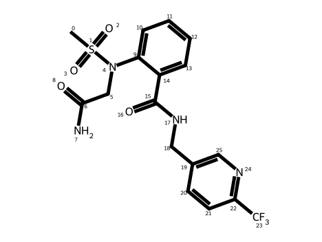 CS(=O)(=O)N(CC(N)=O)c1ccccc1C(=O)NCc1ccc(C(F)(F)F)nc1